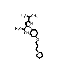 CC(C)c1cc(C(C)C)n([C@H]2CC[C@H](OCCCN3CCCC3)CC2)n1